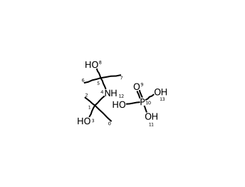 CC(C)(O)NC(C)(C)O.O=P(O)(O)O